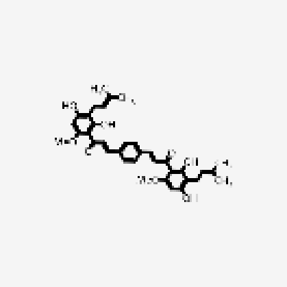 COc1cc(O)c(CC=C(C)C)c(O)c1C(=O)/C=C/c1ccc(/C=C/C(=O)c2c(OC)cc(O)c(CC=C(C)C)c2O)cc1